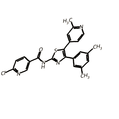 Cc1cc(C)cc(-c2nc(NC(=O)c3ccc(Cl)nc3)sc2-c2ccnc(C)c2)c1